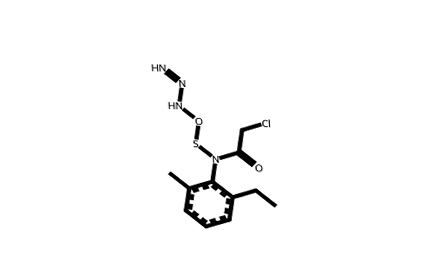 CCc1cccc(C)c1N(SONN=N)C(=O)CCl